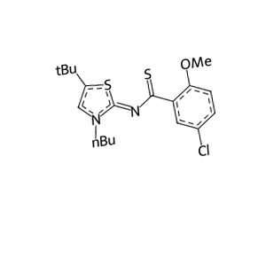 CCCCn1cc(C(C)(C)C)s/c1=N\C(=S)c1cc(Cl)ccc1OC